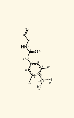 C=CCNC(=O)Oc1cc(C)c(N(CC)CC)c(C)c1